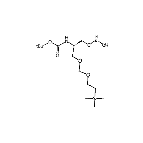 CC(C)(C)OC(=O)N[C@@H](COBO)COCOCC[Si](C)(C)C